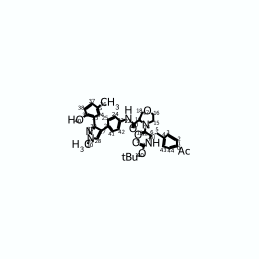 CC(=O)c1ccc(C[C@H](NC(=O)OC(C)(C)C)C(=O)N2CCOCC2C(=O)Nc2ccc(-c3cn(C)nc3-c3cc(C)ccc3O)cc2)cc1